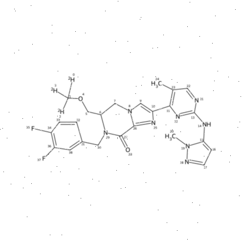 [2H]C([2H])([2H])OCC1Cn2cc(-c3nc(Nc4ccnn4C)ncc3C)nc2C(=O)N1Cc1ccc(F)c(F)c1